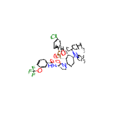 CC(C)N(C)[C@@H]1CC[C@H](N2CC[C@H](NC(=O)c3cccc(OC(F)(F)F)c3)C2=O)[C@H](CS(=O)(=O)c2ccc(Cl)cc2)C1